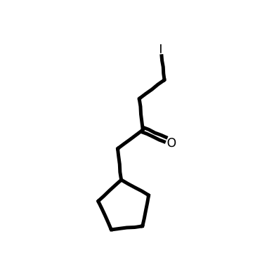 O=C(CCI)CC1CCCC1